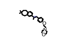 C/C(=C\c1ccc(OCCN2CCOCC2)cc1)c1ccc2c(c1)CCC(C)(C)CC2